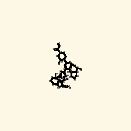 C=CC(=O)N1CCN(c2cc(-c3noc([C@@]4(C)CCCc5sc(N)c(C#N)c54)n3)nc(O[C@@H](C)[C@@H]3CCCN3C)n2)[C@@H](C)C1